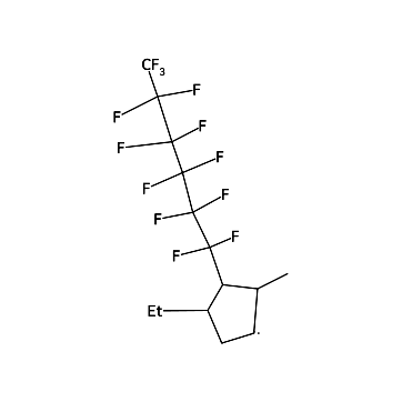 [CH2]CC1C[CH]C(C)C1C(F)(F)C(F)(F)C(F)(F)C(F)(F)C(F)(F)C(F)(F)F